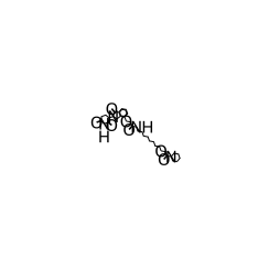 O=C(COc1cccc2c1CN(C1CCC(=O)NC1=O)C2=O)NCCCCCCCCOCC(=O)N1CCCCC1